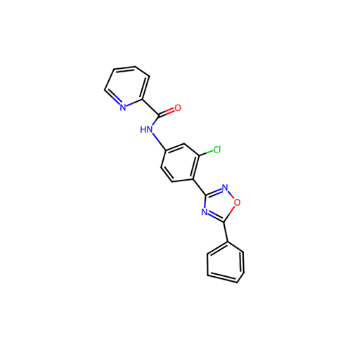 O=C(Nc1ccc(-c2noc(-c3ccccc3)n2)c(Cl)c1)c1ccccn1